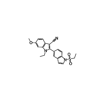 CCn1c(-c2ccc3c(ccn3S(=O)(=O)CC)c2)c(C#N)c2ccc(OC)cc21